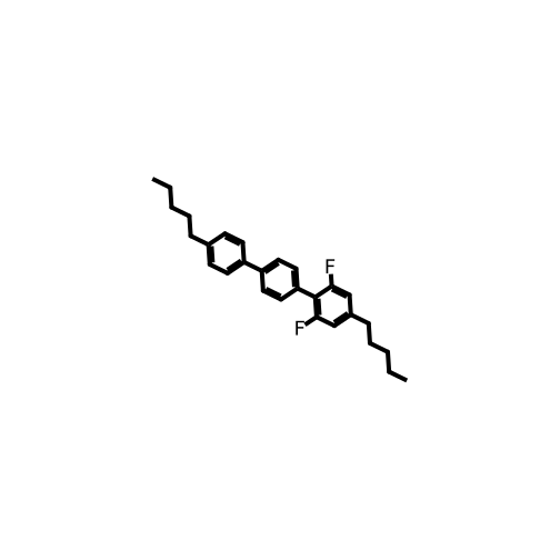 CCCCCc1ccc(-c2ccc(-c3c(F)cc(CCCCC)cc3F)cc2)cc1